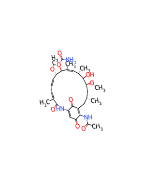 CO[C@H]1C=CC=C(C)C(=O)NC2=CC(=O)C(NC(C)=O)=C(C[C@@H](C)C[C@H](OC)[C@H](O)[C@@H](C)C=C(C)[C@@H]1OC(N)=O)C2=O